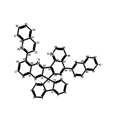 c1ccc2c(c1)-c1ccccc1C21c2cc3cccc(-c4ccc5ccccc5n4)c3nc2-c2c1cc(-c1ccc3ccccc3c1)c1cccnc21